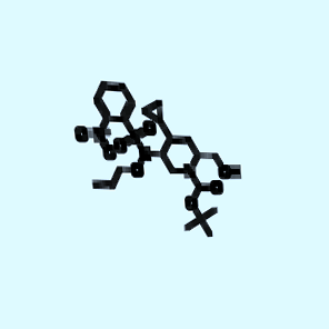 C=CCON(C1CN(C(=O)OC(C)(C)C)C(CO)C=C1C1CC1)S(=O)(=O)c1ccccc1[N+](=O)[O-]